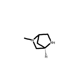 CN1C[C@H]2CC1CN2